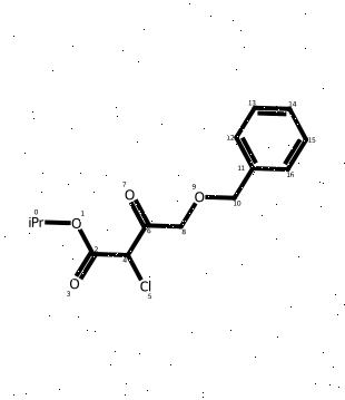 CC(C)OC(=O)C(Cl)C(=O)COCc1ccccc1